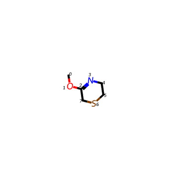 COC1=NCCSC1